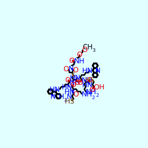 COCCOCCNC(=O)CCN1C(=O)CC(SCC(NC(=O)C(CCCCNc2c3ccccc3nc3ccccc23)NC(=O)C(CCCCN)NC(=O)C(N)CS)C(=O)NC(CCCCNc2c3ccccc3nc3ccccc23)C(=O)NC(CCCCN)C(=O)NC(CS)C(=O)O)C1=O